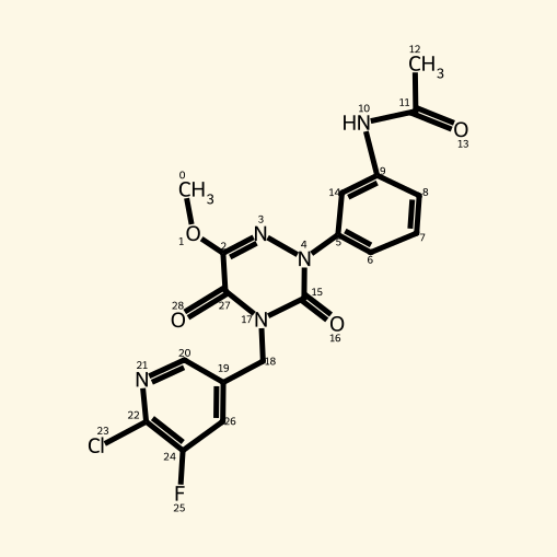 COc1nn(-c2cccc(NC(C)=O)c2)c(=O)n(Cc2cnc(Cl)c(F)c2)c1=O